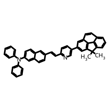 CC1(C)c2cccc3ccc4cc(-c5ccc(/C=C/c6ccc7cc(N(c8ccccc8)c8ccccc8)ccc7c6)nc5)cc1c4c23